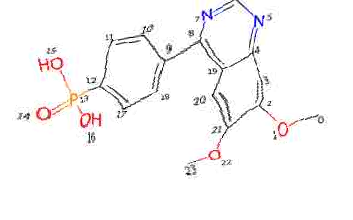 COc1cc2ncnc(-c3ccc(P(=O)(O)O)cc3)c2cc1OC